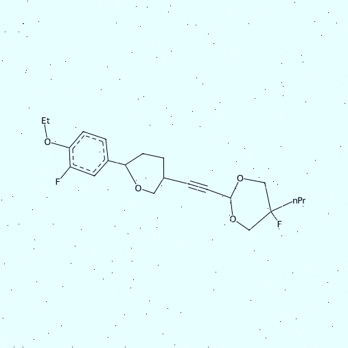 CCCC1(F)COC(C#CC2CCC(c3ccc(OCC)c(F)c3)OC2)OC1